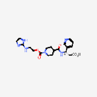 O=C(O)C[C@H](NC(=O)C1CCN(C(=O)OCCNC2=NCCN2)CC1)c1cccnc1